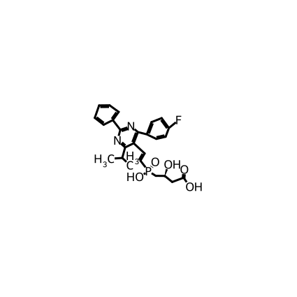 CC(C)c1nc(-c2ccccc2)nc(-c2ccc(F)cc2)c1/C=C/P(=O)(O)C[C@@H](O)CC(=O)O